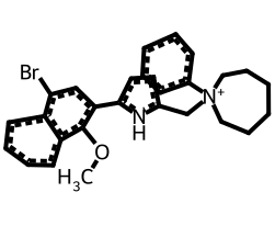 COc1c(-c2ccc(C[N+]3(c4ccccc4)CCCCCC3)[nH]2)cc(Br)c2ccccc12